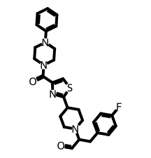 O=CC(Cc1ccc(F)cc1)N1CCC(c2nc(C(=O)N3CCN(c4ccccc4)CC3)cs2)CC1